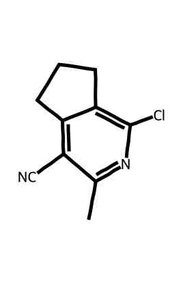 Cc1nc(Cl)c2c(c1C#N)CCC2